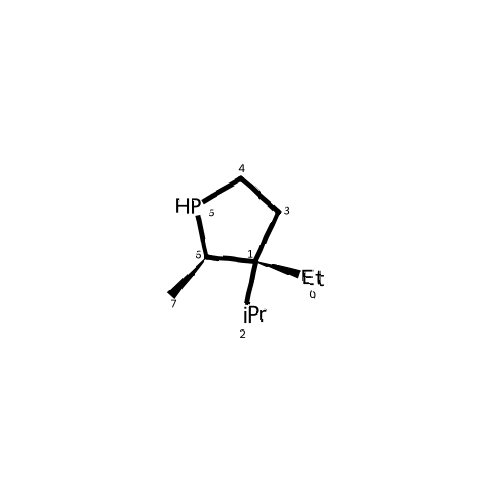 CC[C@]1(C(C)C)CCP[C@@H]1C